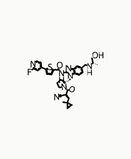 C[C@@H](CO)NCc1ccc2c(c1)nc(NC(=O)c1ccc(-c3ccnc(F)c3)s1)n2C[C@H]1CCCN1C(=O)C(C#N)=CC1(C)CC1